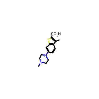 Cc1c(C(=O)O)sc2cc(N3CCN(C)CC3)ccc12